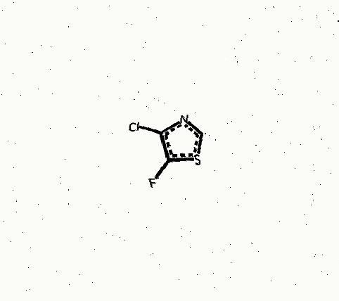 Fc1s[c]nc1Cl